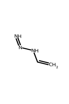 C=CNN=N